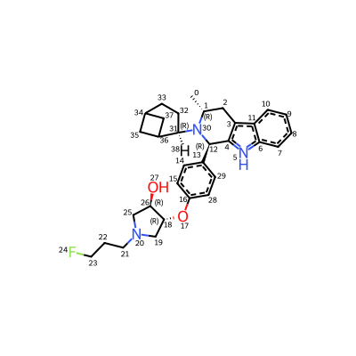 C[C@@H]1Cc2c([nH]c3ccccc23)[C@@H](c2ccc(O[C@@H]3CN(CCCF)C[C@H]3O)cc2)N1[C@@H]1CCC2CC1C2